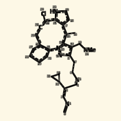 C=N/C=C(\C=N/CCc1nn2c(c1CNC)c(C)c1cc[nH]c1c(Cl)ccc1ccccc12)C1CC1